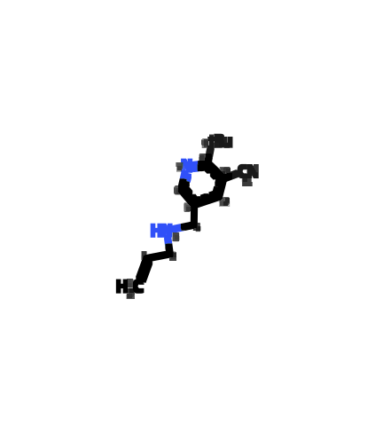 C=CCNCc1cnc(C(C)(C)C)c(C#N)c1